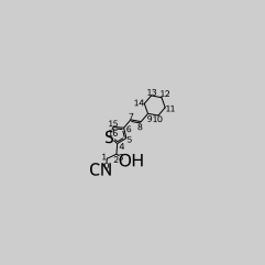 N#CCC(O)c1cc(C=CC2CCCCC2)cs1